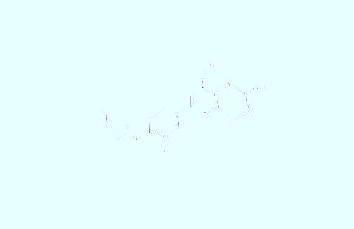 COc1cc(-c2ccc(NS(=O)(=O)CCC(F)(F)F)c(F)c2)nc2cnc(N)nc12